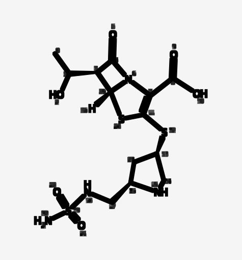 CC(O)[C@H]1C(=O)N2C(C(=O)O)=C(S[C@H]3CN[C@@H](CNS(N)(=O)=O)C3)S[C@H]12